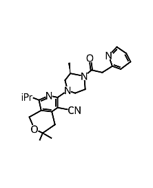 CC(C)c1nc(N2CCN(C(=O)Cc3ccccn3)[C@H](C)C2)c(C#N)c2c1COC(C)(C)C2